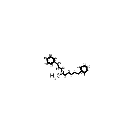 CN(CCCCCc1ccccc1)CCCc1ccccc1